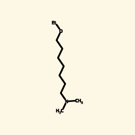 CCOCCCCCCCN(C)C